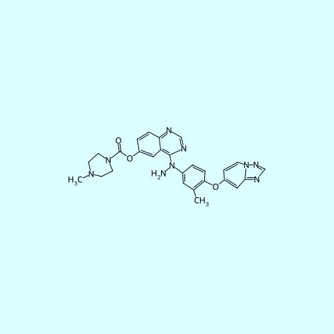 Cc1cc(N(N)c2ncnc3ccc(OC(=O)N4CCN(C)CC4)cc23)ccc1Oc1ccn2ncnc2c1